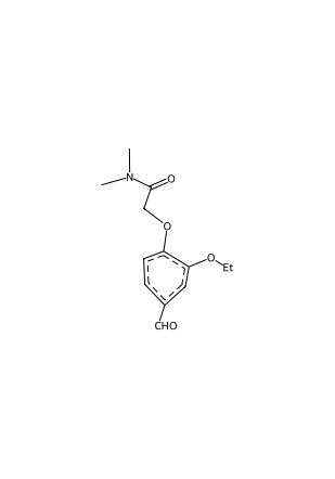 CCOc1cc(C=O)ccc1OCC(=O)N(C)C